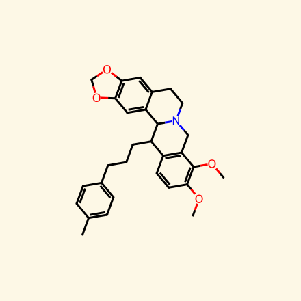 COc1ccc2c(c1OC)CN1CCc3cc4c(cc3C1C2CCCc1ccc(C)cc1)OCO4